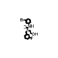 O=C(Nc1cccc(Br)c1)N(CCO)Cc1cccc(F)c1